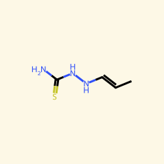 C/C=C/NNC(N)=S